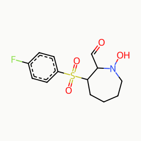 O=CC1C(S(=O)(=O)c2ccc(F)cc2)CCCCN1O